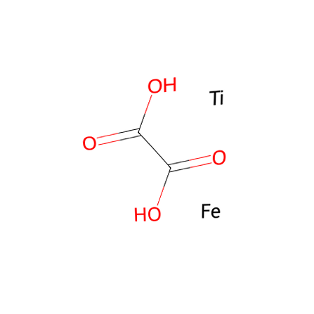 O=C(O)C(=O)O.[Fe].[Ti]